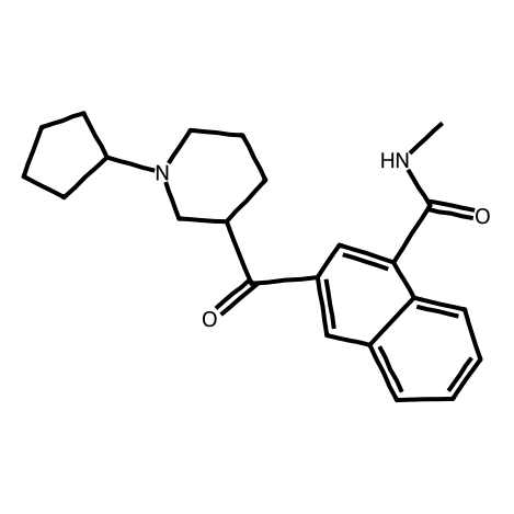 CNC(=O)c1cc(C(=O)C2CCCN(C3CCCC3)C2)cc2ccccc12